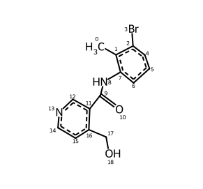 Cc1c(Br)cccc1NC(=O)c1cnccc1CO